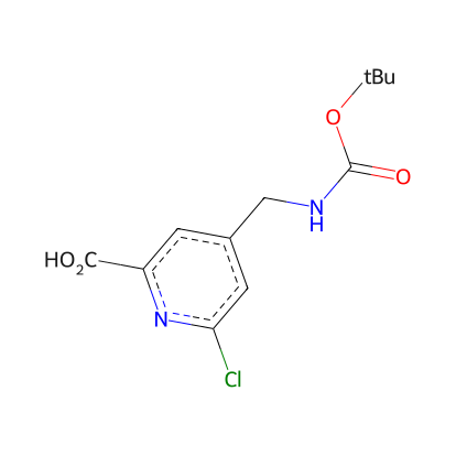 CC(C)(C)OC(=O)NCc1cc(Cl)nc(C(=O)O)c1